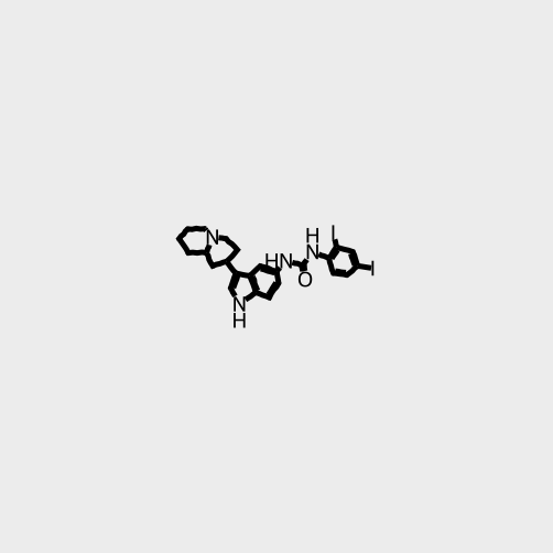 O=C(Nc1ccc2[nH]cc(C3CCN4CCCCC4C3)c2c1)Nc1ccc(I)cc1I